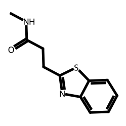 CNC(=O)CCc1nc2ccccc2s1